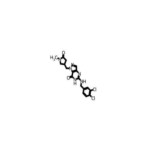 CN1CC(Cn2ncc3nc(NCc4ccc(Cl)c(Cl)c4)[nH]c(=O)c32)CC1=O